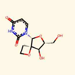 O=c1ccn([C@@H]2O[C@H](CO)C(O)[C@]23CCO3)c(=O)[nH]1